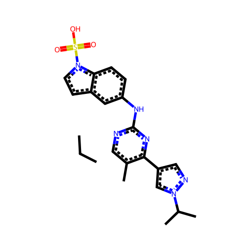 CCC.Cc1cnc(Nc2ccc3c(ccn3S(=O)(=O)O)c2)nc1-c1cnn(C(C)C)c1